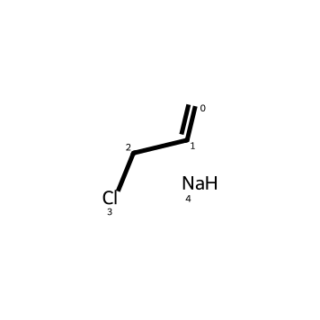 C=CCCl.[NaH]